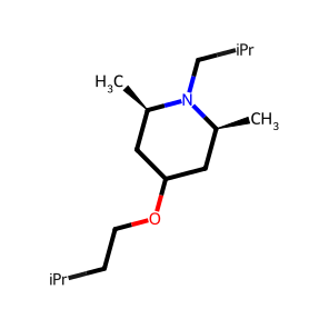 CC(C)CCOC1C[C@@H](C)N(CC(C)C)[C@@H](C)C1